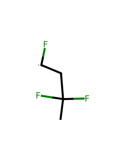 CC(F)(F)C[CH]F